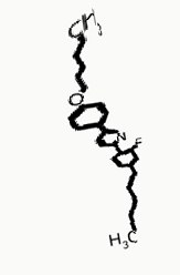 CCCCCCOc1ccc(-c2ccc(-c3ccc(CCCCCC)cc3F)nc2)cc1